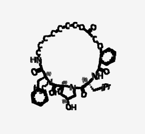 CC(C)C[C@H]1NC(=O)c2ccccc2OCC(=O)OCCCCCCCNC(=O)[C@H](Cc2ccccc2)N(C)C(=O)[C@H]2C[C@H](O)CN2C1=O